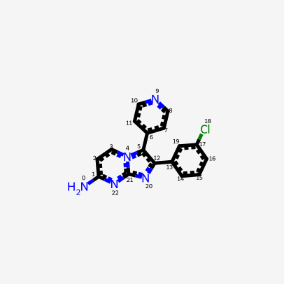 Nc1ccn2c(-c3ccncc3)c(-c3cccc(Cl)c3)nc2n1